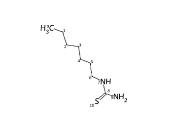 CCCCCCCNC(N)=S